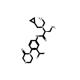 NC[C@@H](C(=O)Nc1ccc(N2CCOCC2=O)c(C(F)F)c1)N(CC1CC1)CC(F)(F)F